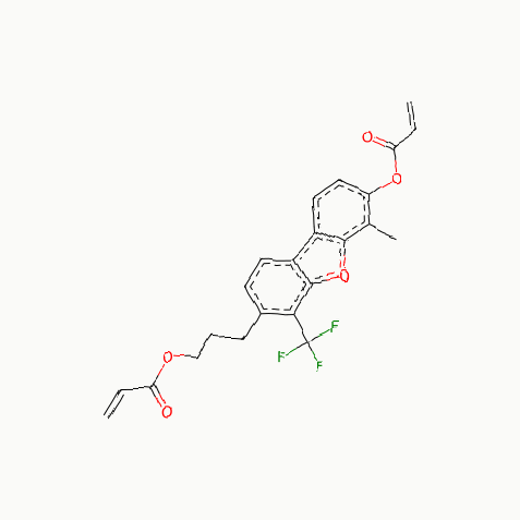 C=CC(=O)OCCCc1ccc2c(oc3c(C)c(OC(=O)C=C)ccc32)c1C(F)(F)F